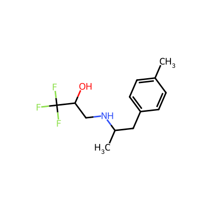 Cc1ccc(CC(C)NCC(O)C(F)(F)F)cc1